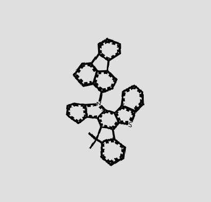 CC1(C)c2ccccc2-c2c1c1c3ccccc3n(-c3ccc4c5c(cccc35)-c3ccccc3-4)c1c1c2sc2ccccc21